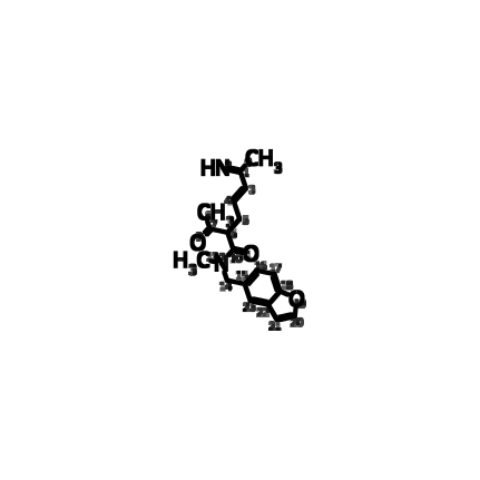 CC(=N)/C=C/CC(C(C)=O)C(=O)N(C)Cc1ccc2occc2c1